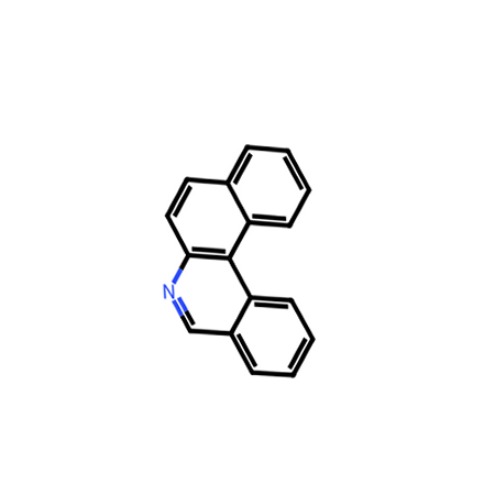 c1ccc2c(c1)ccc1ncc3ccccc3c12